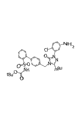 CCCCc1nn(-c2cc(N)ccc2Cl)c(=O)n1Cc1ccc(-c2ccccc2S(=O)(=O)NC(=O)OC(C)(C)C)cc1